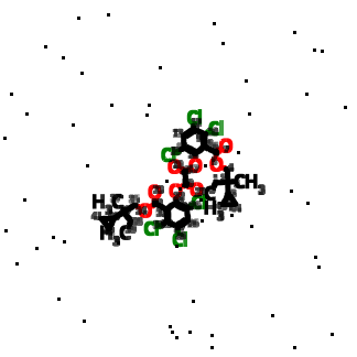 CCC(C)(COC(=O)c1c(Cl)c(Cl)cc(Cl)c1OC(=O)C(=O)Oc1c(Cl)cc(Cl)c(Cl)c1C(=O)OCC(C)(CC)C1CC1)C1CC1